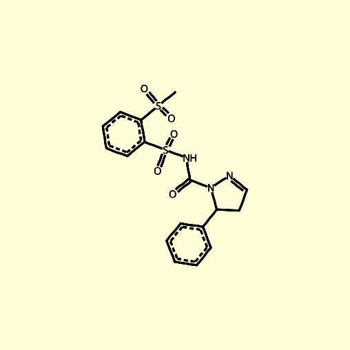 CS(=O)(=O)c1ccccc1S(=O)(=O)NC(=O)N1N=CCC1c1ccccc1